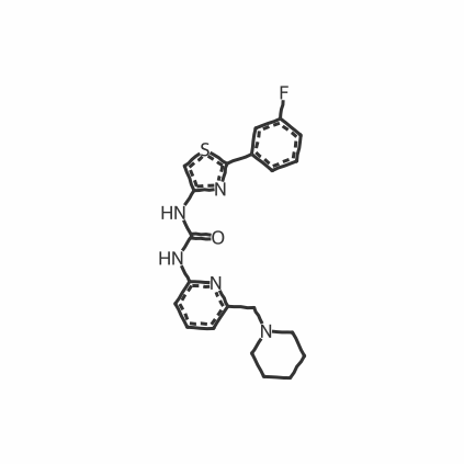 O=C(Nc1cccc(CN2CCCCC2)n1)Nc1csc(-c2cccc(F)c2)n1